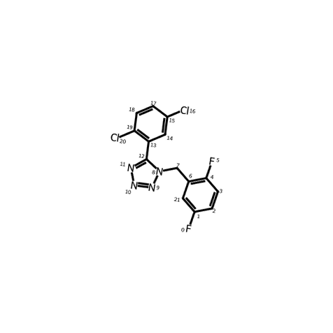 Fc1ccc(F)c(Cn2nnnc2-c2cc(Cl)ccc2Cl)c1